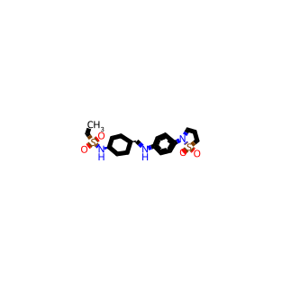 CCS(=O)(=O)N[C@H]1CC[C@H](CNc2ccc(N3CCCS3(=O)=O)cc2)CC1